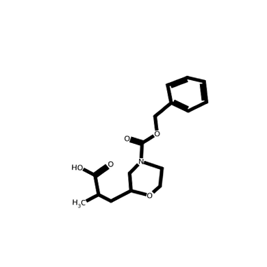 CC(CC1CN(C(=O)OCc2ccccc2)CCO1)C(=O)O